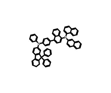 C1=CC2=C(CC1)C(c1ccccc1)(c1ccccc1)c1cc(N(c3ccccc3)c3ccc(-c4ccc(N(c5ccc6ccccc6c5)c5cccc6ccccc56)c5ccccc45)cc3)ccc12